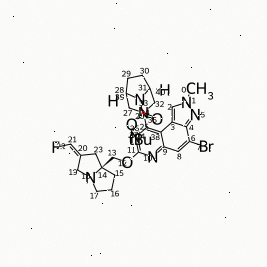 Cn1cc2c(n1)c(Br)cc1nc(OC[C@@]34CCCN3C/C(=C\F)C4)nc(N3C[C@H]4CC[C@@H](C3)N4C(=O)OC(C)(C)C)c12